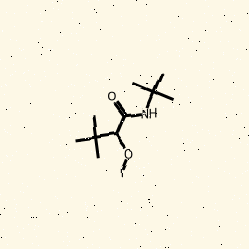 CC(C)(C)NC(=O)C(OI)C(C)(C)C